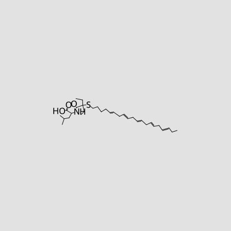 CCC=CCC=CCC=CCC=CCC=CCCCCSC(CC)(CC)C(=O)NC(CC(C)C)C(=O)O